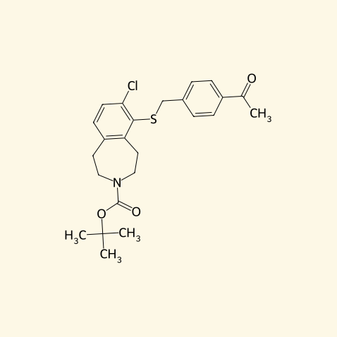 CC(=O)c1ccc(CSc2c(Cl)ccc3c2CCN(C(=O)OC(C)(C)C)CC3)cc1